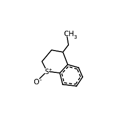 CCC1CC[S+]([O-])c2ccccc21